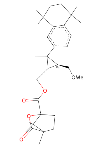 COC[C@H]1C(COC(=O)C23CCC(C)(C(=O)O2)C3(C)C)C1(C)c1ccc2c(c1)C(C)(C)CCC2(C)C